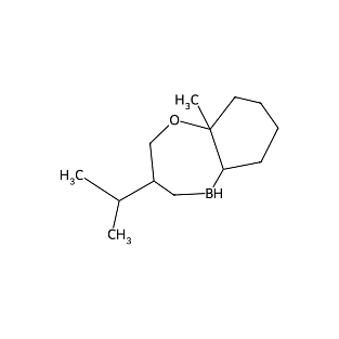 CC(C)C1CBC2CCCCC2(C)OC1